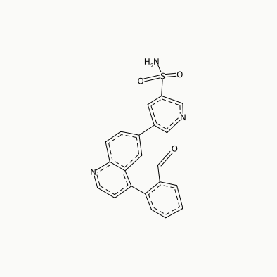 NS(=O)(=O)c1cncc(-c2ccc3nccc(-c4ccccc4C=O)c3c2)c1